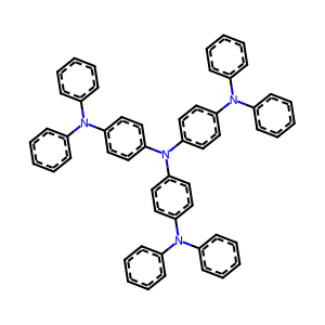 c1ccc(N(c2ccccc2)c2ccc(N(c3ccc(N(c4ccccc4)c4ccccc4)cc3)c3ccc(N(c4ccccc4)c4ccccc4)cc3)cc2)cc1